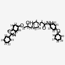 O=C(CN1CCN(C[C@H](O)COc2ccc3oc(-c4ccccc4)nc3c2)CC1)Nc1ccc(Oc2ccccc2)cc1